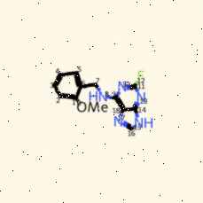 COc1ccccc1CNc1nc(F)nc2[nH]cnc12